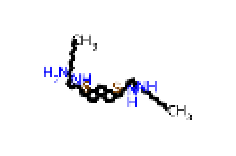 CCCCCCCCNc1ccc(-c2cc3ccc4c5ccc6cc(-c7ccc(C(N)CCCCCCC)[nH]7)sc6c5ccc4c3s2)[nH]1